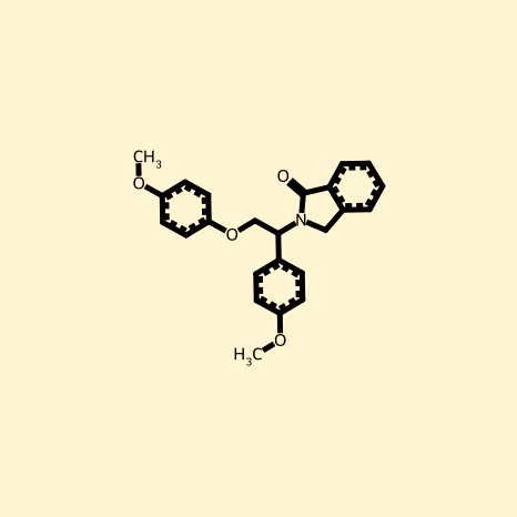 COc1ccc(OCC(c2ccc(OC)cc2)N2Cc3ccccc3C2=O)cc1